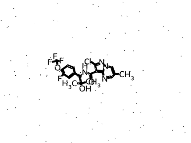 Cc1cnc2c(C(=O)N[C@@H](c3ccc(OC(F)(F)F)c(F)c3)C(C)(C)O)c(Cl)nn2c1